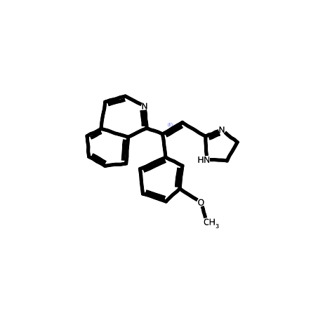 COc1cccc(/C(=C\C2=NCCN2)c2nccc3ccccc23)c1